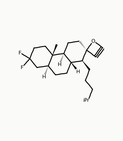 CC(C)CCC[C@H]1[C@@H]2CC[C@H]3CC(F)(F)CC[C@]3(C)[C@H]2CC[C@]12C#CO2